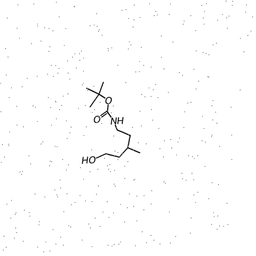 CC(CCO)CCNC(=O)OC(C)(C)C